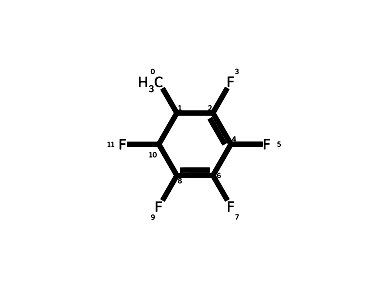 C[C]1C(F)=C(F)C(F)=C(F)C1F